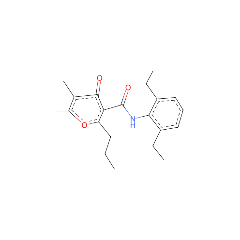 CCCc1oc(C)c(C)c(=O)c1C(=O)Nc1c(CC)cccc1CC